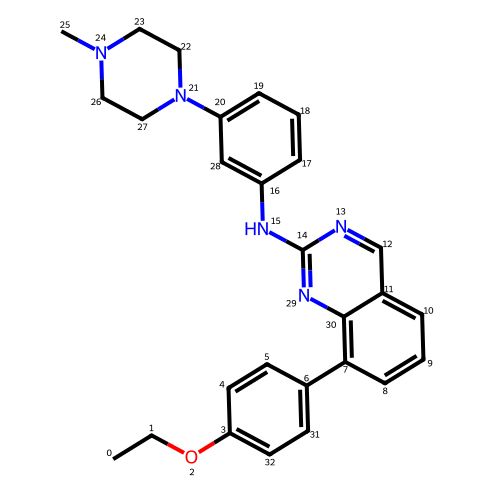 CCOc1ccc(-c2cccc3cnc(Nc4cccc(N5CCN(C)CC5)c4)nc23)cc1